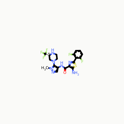 Cn1ncc(NC(=O)c2nc(-c3c(F)cccc3F)sc2N)c1N1CCN[C@@H](C(F)(F)F)C1